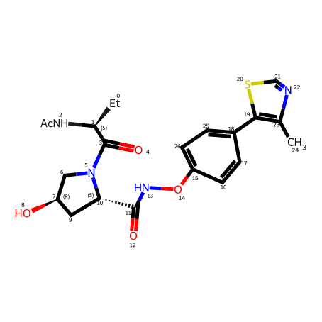 CC[C@H](NC(C)=O)C(=O)N1C[C@H](O)C[C@H]1C(=O)NOc1ccc(-c2scnc2C)cc1